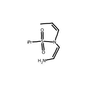 C/C=C\N(/C=C\N)S(=O)(=O)C(C)C